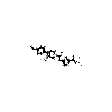 CC(C)c1nc(CC(=O)N2CCN(c3ccc(C#N)nn3)[C@@H](C)C2)cs1